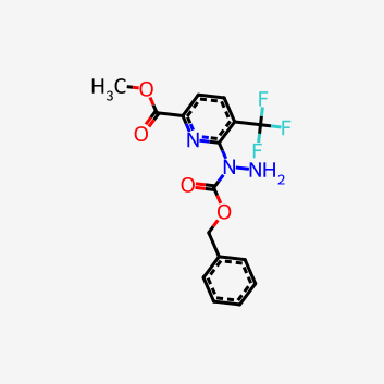 COC(=O)c1ccc(C(F)(F)F)c(N(N)C(=O)OCc2ccccc2)n1